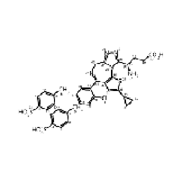 Cc1ccc(S(=O)(=O)O)cc1.Cc1ccc(S(=O)(=O)O)cc1.N[C@H](CCC(=O)O)c1nnc2n1-c1sc(C3CC3)cc1C(c1ccccc1Cl)=NC2